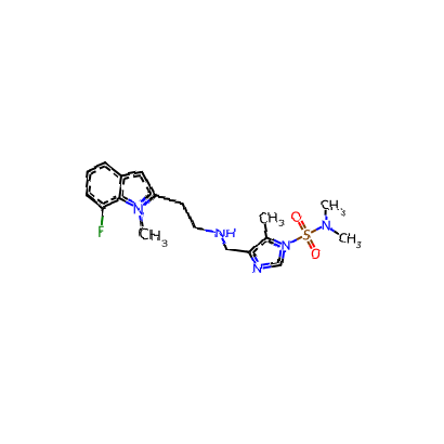 Cc1c(CNCCc2cc3cccc(F)c3n2C)ncn1S(=O)(=O)N(C)C